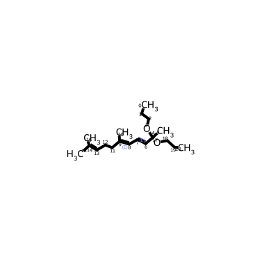 CCCOC(C)(/C=C/C=C(\C)CCC=C(C)C)OCCC